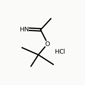 CC(=N)OC(C)(C)C.Cl